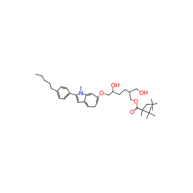 CCCCCc1ccc(-c2cc3c(n2C)=CC(OCC(O)CCC(CO)COC(=O)C(C)(CC(C)(C)C)C(C)(C)C)=CCC=3)cc1